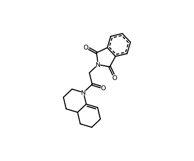 O=C(CN1C(=O)c2ccccc2C1=O)N1CCCC2CCCC=C21